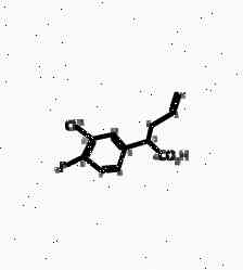 C=CCC(C(=O)O)c1ccc(F)c(Cl)c1